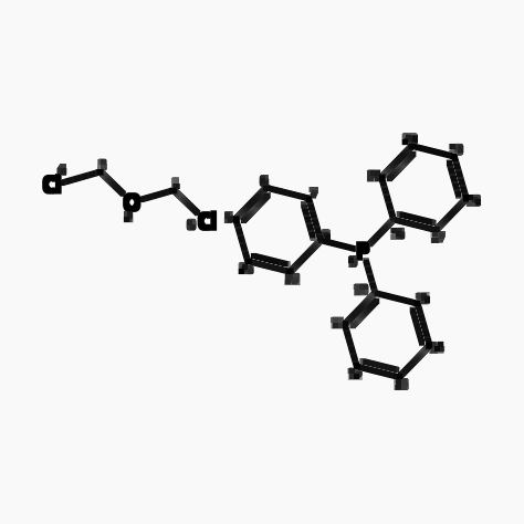 ClCOCCl.c1ccc(P(c2ccccc2)c2ccccc2)cc1